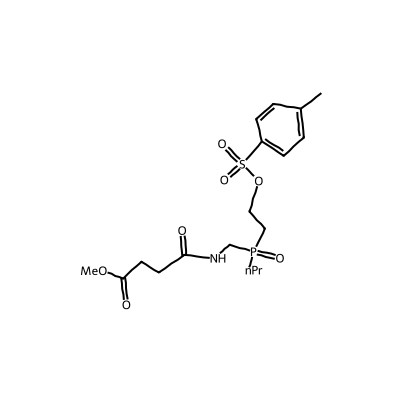 CCCP(=O)(CCOS(=O)(=O)c1ccc(C)cc1)CNC(=O)CCC(=O)OC